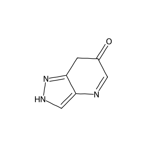 O=C1C=Nc2c[nH]nc2C1